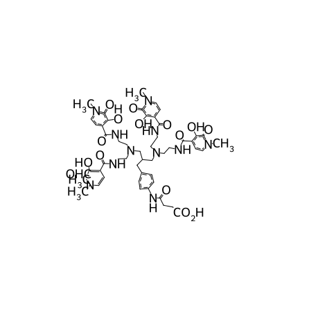 CN(C)/C=C\C(C(=O)NCCN(CCNC(=O)c1ccn(C)c(=O)c1O)CC(Cc1ccc(NC(=O)CCC(=O)O)cc1)CN(CCNC(=O)c1ccn(C)c(=O)c1O)CCNC(=O)c1ccn(C)c(=O)c1O)=C(\O)C=O